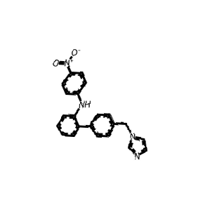 O=[N+]([O-])c1ccc(Nc2ccccc2-c2ccc(Cn3ccnc3)cc2)cc1